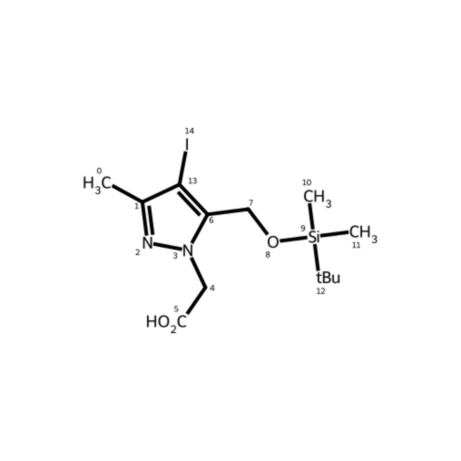 Cc1nn(CC(=O)O)c(CO[Si](C)(C)C(C)(C)C)c1I